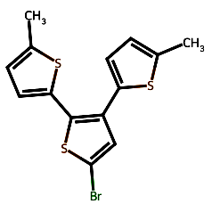 Cc1ccc(-c2cc(Br)sc2-c2ccc(C)s2)s1